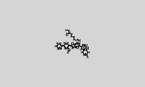 CCC(=O)CCCCC[C@H](NC(=O)C(=N)CC1(O)CCN(C)CC1)c1ncc(-c2ccc(-c3ccccn3)cc2OC)o1